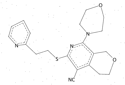 N#Cc1c(SCCc2ccccn2)nc(N2CCOCC2)c2c1CCOC2